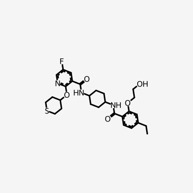 CCc1ccc(C(=O)NC2CCC(NC(=O)c3cc(F)cnc3OC3CCSCC3)CC2)c(OCCO)c1